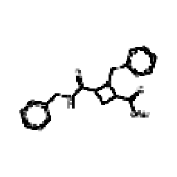 COC(=O)C1CC(C(=O)NCc2ccccc2)N1Cc1ccccc1